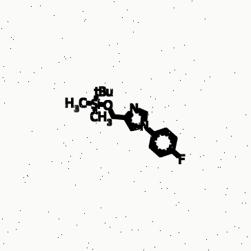 CC(C)(C)[Si](C)(C)OCc1cn(-c2ccc(F)cc2)cn1